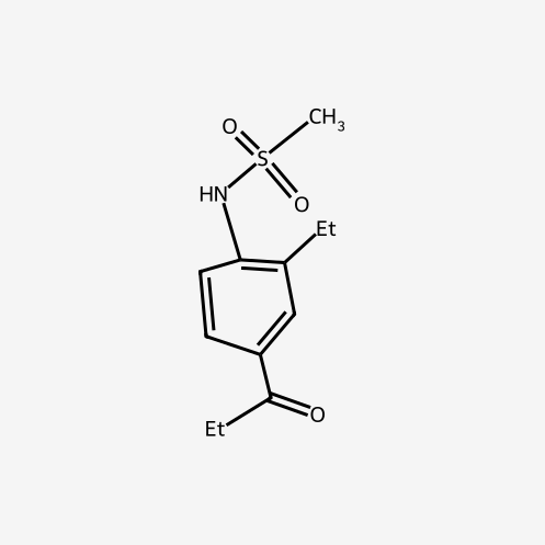 CCC(=O)c1ccc(NS(C)(=O)=O)c(CC)c1